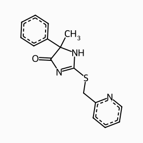 CC1(c2ccccc2)NC(SCc2ccccn2)=NC1=O